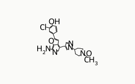 CC(=O)N1CCC(n2cc(-c3cnc(N)c4oc(-c5ccc(O)c(Cl)c5)cc34)cn2)CC1